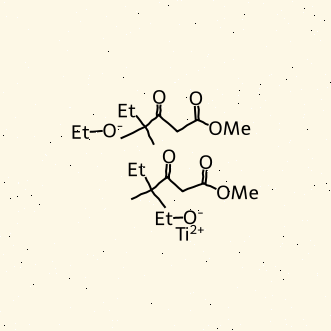 CCC(C)(C)C(=O)CC(=O)OC.CCC(C)(C)C(=O)CC(=O)OC.CC[O-].CC[O-].[Ti+2]